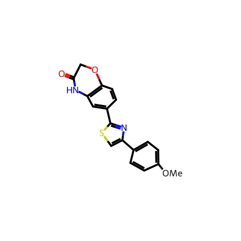 COc1ccc(-c2csc(-c3ccc4c(c3)NC(=O)CO4)n2)cc1